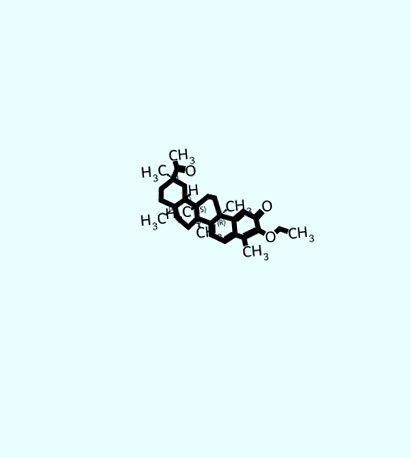 CCOC1=C(C)C2=CC=C3[C@@](C)(CC[C@@]4(C)[C@@H]5C[C@](C)(C(C)=O)CC[C@]5(C)CC[C@]34C)C2=CC1=O